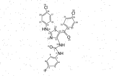 O=C(Nc1ccc(F)cc1)Nc1nc(Nc2ccc(Cl)cc2)sc1C(=O)c1ccc(Cl)cc1